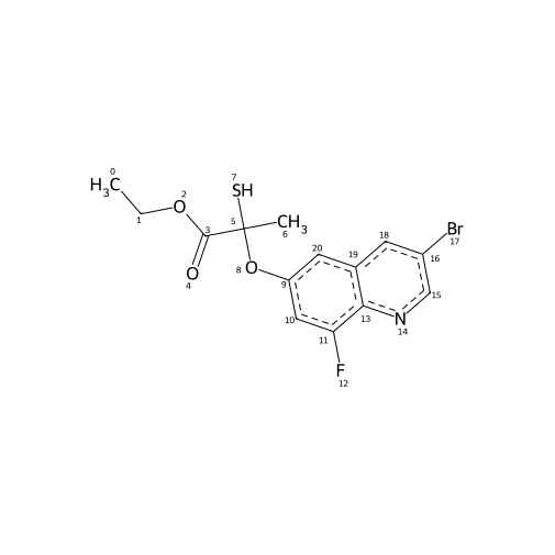 CCOC(=O)C(C)(S)Oc1cc(F)c2ncc(Br)cc2c1